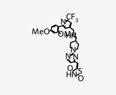 COc1ccc(-c2cc(CNCC3CCN(c4nccc(C=C5SC(=O)NC5=O)n4)CC3)cc(C(F)(F)F)n2)c(OC)c1